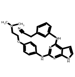 CN(C)CCOc1ccc(Nc2nc(Nc3cccc(CC#N)c3)c3cc[nH]c3n2)cc1